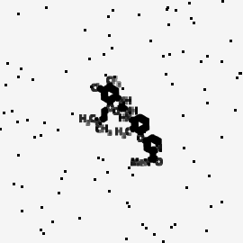 CNC(=O)c1cc(Oc2cccc(NNC(=O)Nc3cc(C(F)(F)F)c(Cl)cc3OCCN(C)C)c2C)ccn1